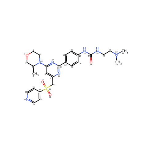 C[C@H]1COCCN1c1cc(CS(=O)(=O)c2ccncc2)nc(-c2ccc(NC(=O)NCCN(C)C)cc2)n1